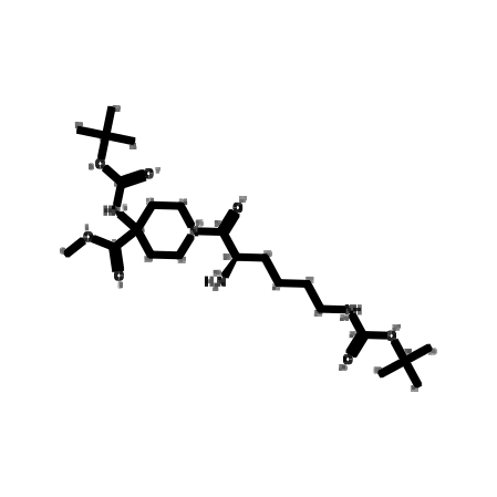 COC(=O)C1(NC(=O)OC(C)(C)C)CCN(C(=O)[C@H](N)CCCCNC(=O)OC(C)(C)C)CC1